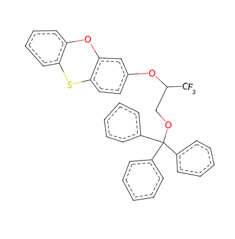 FC(F)(F)C(COC(c1ccccc1)(c1ccccc1)c1ccccc1)Oc1ccc2c(c1)Oc1ccccc1S2